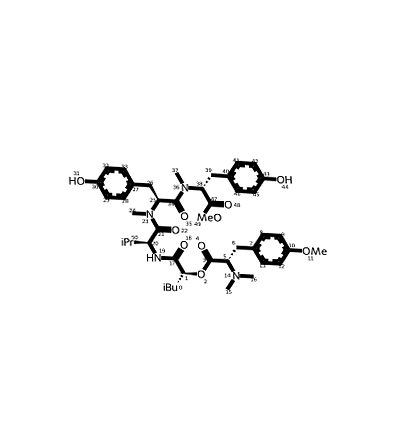 CC[C@@H](C)[C@H](OC(=O)[C@H](Cc1ccc(OC)cc1)N(C)C)C(=O)N[C@H](C(=O)N(C)[C@@H](Cc1ccc(O)cc1)C(=O)N(C)[C@H](Cc1ccc(O)cc1)C(=O)OC)C(C)C